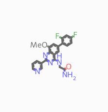 COc1cc(-c2ccc(F)cc2F)cc2c(NCC(N)=O)nc(-c3cccnc3)nc12